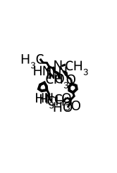 CCCC1NN(C)c2c1nc(CC)n(CCOc1ccc(CC(OCC)C(=O)O)cc1)c2=O.CNCc1ccccc1